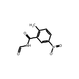 Cc1ccc([N+](=O)[O-])cc1C(=O)NC=O